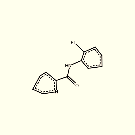 CCc1ccccc1NC(=O)c1ccccn1